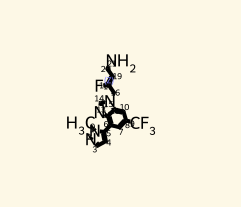 Cn1nccc1-c1cc(C(F)(F)F)cc2c1ncn2C/C(F)=C/CN